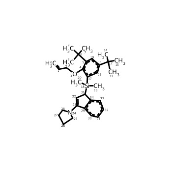 C=CCOc1c(C(C)(C)C)cc(C(C)(C)C)cc1[Si](C)(C)C1C=C(N2CCCC2)c2ccccc21